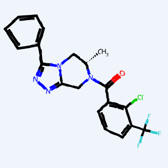 C[C@H]1Cn2c(nnc2-c2ccccc2)CN1C(=O)c1cccc(C(F)(F)F)c1Cl